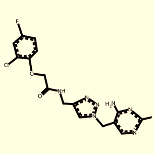 Cc1ncc(Cn2cc(CNC(=O)COc3ccc(F)cc3Cl)nn2)c(N)n1